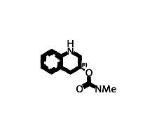 CNC(=O)O[C@H]1CNc2ccccc2C1